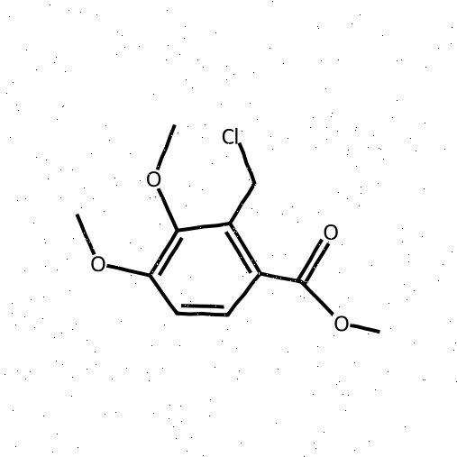 COC(=O)c1ccc(OC)c(OC)c1CCl